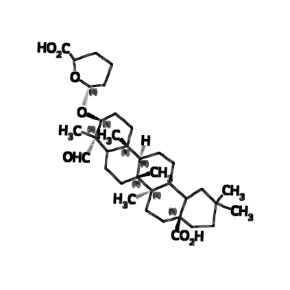 CC1(C)CC[C@]2(C(=O)O)CC[C@]3(C)C(CC[C@@H]4[C@@]5(C)CC[C@H](O[C@H]6CCCC(C(=O)O)O6)[C@@](C)(C=O)C5CC[C@]43C)C2C1